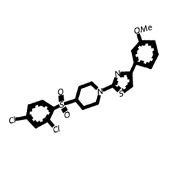 COc1cccc(-c2csc(N3CCC(S(=O)(=O)c4ccc(Cl)cc4Cl)CC3)n2)c1